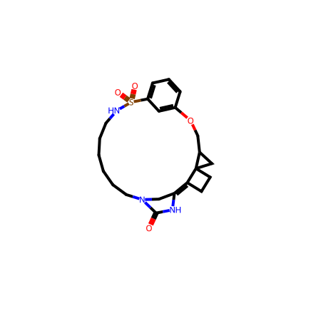 O=C1N/C2=C3\CCC34CC4COc3cccc(c3)S(=O)(=O)NCCCCCCN1C2